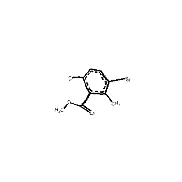 COC(=O)c1c(Cl)ccc(Br)c1C